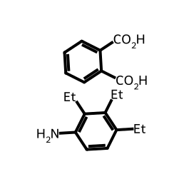 CCc1ccc(N)c(CC)c1CC.O=C(O)c1ccccc1C(=O)O